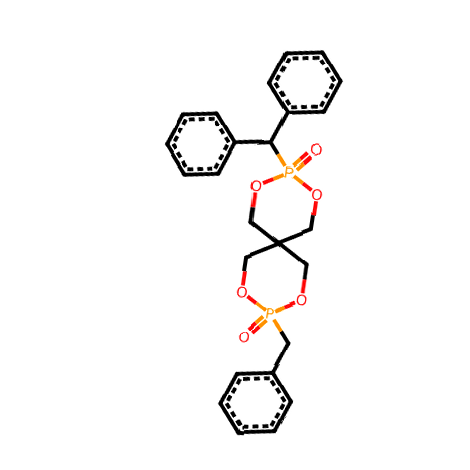 O=P1(Cc2ccccc2)OCC2(CO1)COP(=O)(C(c1ccccc1)c1ccccc1)OC2